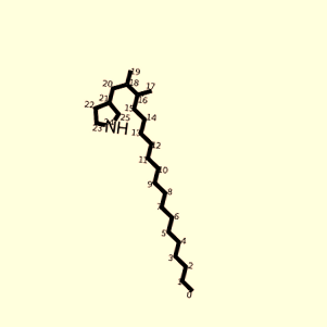 CCCCCCCCCCCCCCCC[C](C)C(C)CC1CCNC1